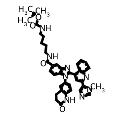 Cn1cncc1-c1cc(-c2nc3cc(C(=O)NCCCCCNC(=O)OC(C)(C)C)ccc3n2-c2ccc3c(c2)CCC(=O)N3)c2ccccc2n1